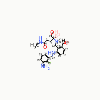 BC(C=O)(CCC(=O)NC)N(C)Cc1c(C=O)cccc1NCc1cccc(N)c1F